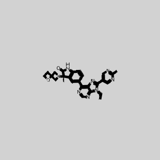 CCn1c(-c2cnc(C)nc2)nc2c(-c3ccc4c(c3)[C@](C)(N3CC5(CCO5)C3)C(=O)N4)ncnc21